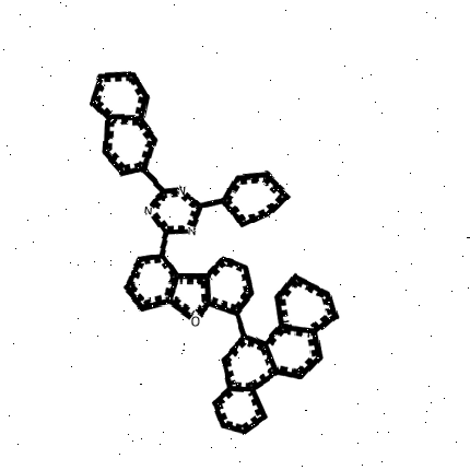 c1ccc(-c2nc(-c3ccc4ccccc4c3)nc(-c3cccc4oc5c(-c6cc7ccccc7c7ccc8ccccc8c67)cccc5c34)n2)cc1